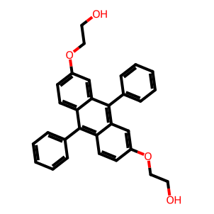 OCCOc1ccc2c(-c3ccccc3)c3ccc(OCCO)cc3c(-c3ccccc3)c2c1